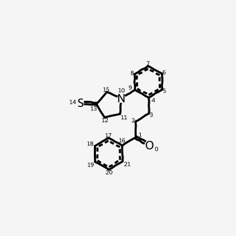 O=C(CCc1ccccc1N1CCC(=S)C1)c1ccccc1